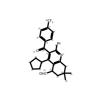 CC(C)c1nc2c(c(C3CCCC3)c1C(=O)c1ccc(C(F)(F)F)cc1)C(C=O)CC(C)(C)C2